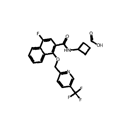 O=C(NC1CCC1)c1cc(F)c2ccccc2c1OCc1ccc(C(F)(F)F)cn1.O=CO